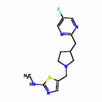 CNc1ncc(CN2CCC(Cc3ncc(F)cn3)C2)s1